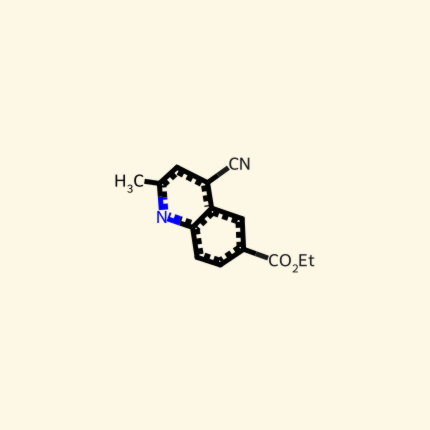 CCOC(=O)c1ccc2nc(C)cc(C#N)c2c1